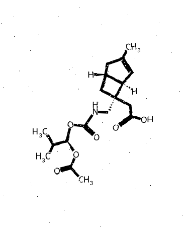 CC(=O)O[C@H](OC(=O)NC[C@]1(CC(=O)O)C[C@@H]2CC(C)=C[C@H]21)C(C)C